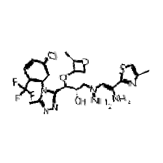 Cc1csc(/C(N)=C/N(N)C[C@H](O)C(OC2CO[C@@H]2C)c2nnc(C)n2-c2cc(Cl)ccc2C(F)(F)F)n1